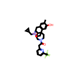 Cc1cc2c(cc1O)C13CCN(C(=O)Cc4cccc(C(F)(F)F)n4)CCC1(O)C(C2)N(CC1CC1)CC3